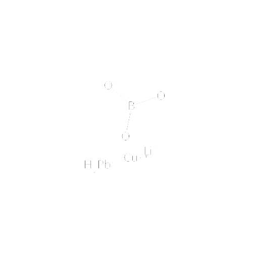 [Cu+2].[Li+].[O-]B([O-])[O-].[PbH2]